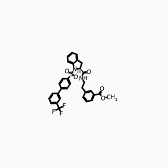 COC(=O)c1cccc(CCNC(=O)[C@@H]2Cc3ccccc3N2S(=O)(=O)c2ccc(-c3cccc(C(F)(F)F)c3)cc2)c1